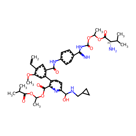 C=Cc1cc(C(=O)Nc2ccc(C(=N)NC(=O)OC(C)OC(=O)[C@@H](N)C(C)C)cc2)c(-c2ccc(C(O)NCC3CC3)nc2C(=O)OC(C)OC(=O)C(C)C)cc1OC